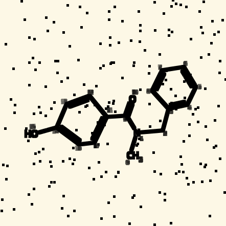 CN(Cc1ccccc1)C(=O)c1ccc(O)cc1